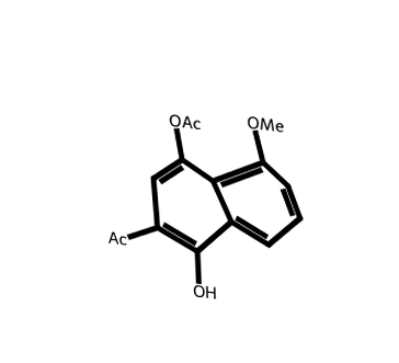 COc1cccc2c(O)c(C(C)=O)cc(OC(C)=O)c12